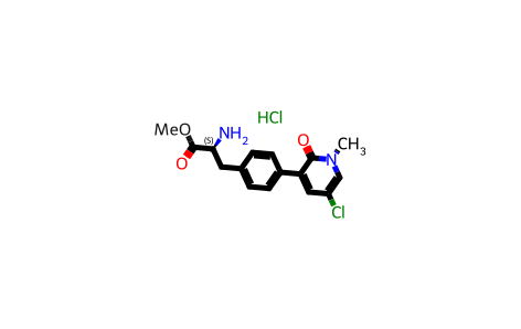 COC(=O)[C@@H](N)Cc1ccc(-c2cc(Cl)cn(C)c2=O)cc1.Cl